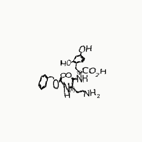 NCC[C@@H](NC(=O)OCc1ccccc1)C(=O)N[C@@H](Cc1ccc(O)cc1O)C(=O)O